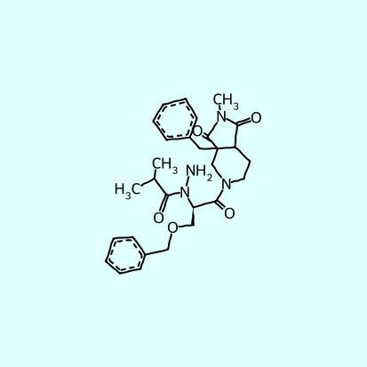 CC(C)C(=O)N(N)[C@H](COCc1ccccc1)C(=O)N1CCC2C(=O)N(C)C(=O)C2(Cc2ccccc2)C1